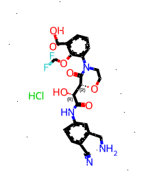 Cl.N#Cc1ccc(NC(=O)[C@H](O)[C@H]2OCCN(c3cccc(C(=O)O)c3OC(F)F)C2=O)cc1CN